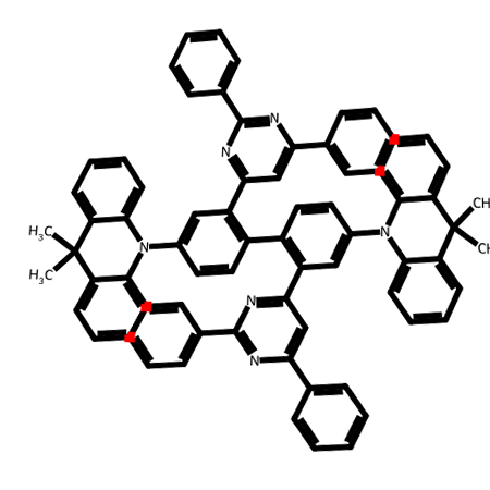 CC1(C)c2ccccc2N(c2ccc(-c3ccc(N4c5ccccc5C(C)(C)c5ccccc54)cc3-c3cc(-c4ccccc4)nc(-c4ccccc4)n3)c(-c3cc(-c4ccccc4)nc(-c4ccccc4)n3)c2)c2ccccc21